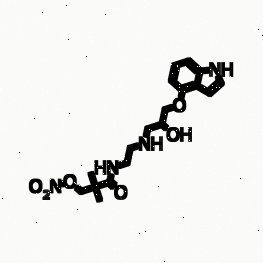 CC(C)(CO[N+](=O)[O-])C(=O)NCCNCC(O)COc1cccc2[nH]ccc12